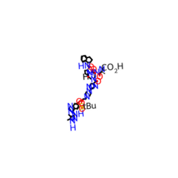 Cc1[nH]nc(Nc2ncnc3cc(OCCCN4CCN(c5cnc(C(=O)N6CC[C@H]7CC[C@@H](C(=O)N[C@@H]8CCCc9ccccc98)N7C(=O)[C@@H](NC(=O)[C@H](C)N(C)C(=O)O)C6)cn5)CC4)c(S(=O)(=O)C(C)(C)C)cc23)c1C